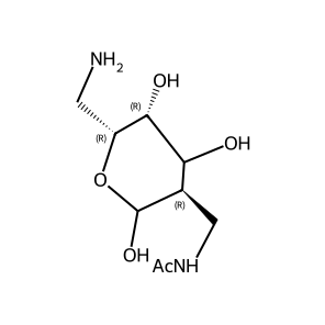 CC(=O)NC[C@H]1C(O)O[C@H](CN)[C@H](O)C1O